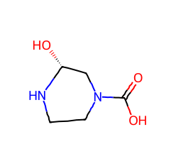 O=C(O)N1CCN[C@H](O)C1